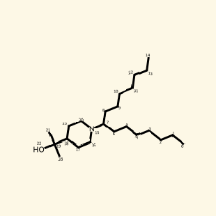 CCCCCCCC(CCCCCCC)N1CCC(C(C)(C)O)CC1